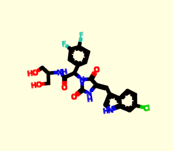 O=C(NC(CO)CO)C(c1ccc(F)c(F)c1)N1C(=O)N/C(=C\c2c[nH]c3cc(Cl)ccc23)C1=O